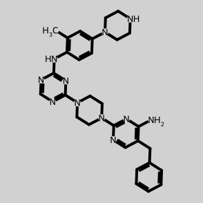 Cc1cc(N2CCNCC2)ccc1Nc1ncnc(N2CCN(c3ncc(Cc4ccccc4)c(N)n3)CC2)n1